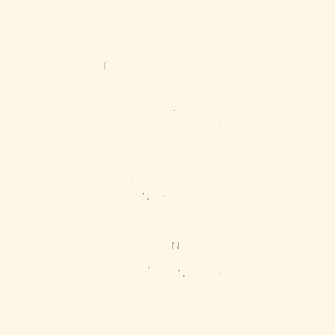 O=C1[N]c2ccccc2N1C1CCN(CCCC(c2ccc(F)cc2)c2ccc(F)cc2)CC1